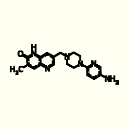 Cc1cc2ncc(CN3CCN(c4ccc(N)cn4)CC3)cc2[nH]c1=O